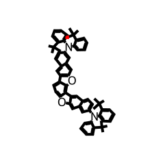 CC(C)(C)c1ccccc1N(c1ccc2cc3c(cc2c1)oc1c3ccc2oc3cc4cc(N(c5ccccc5C(C)(C)C)c5ccccc5C(C)(C)C)ccc4cc3c21)c1ccccc1C(C)(C)C